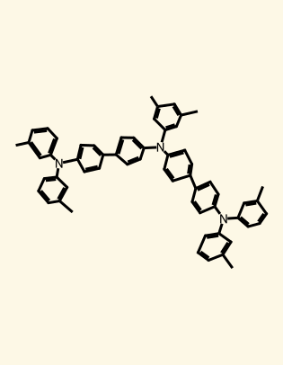 Cc1cccc(N(c2ccc(-c3ccc(N(c4ccc(-c5ccc(N(c6cccc(C)c6)c6cccc(C)c6)cc5)cc4)c4cc(C)cc(C)c4)cc3)cc2)c2cccc(C)c2)c1